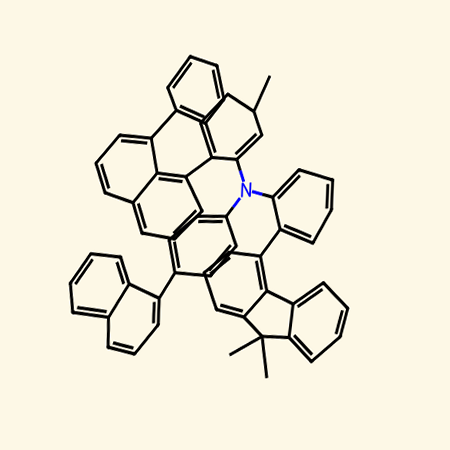 CC1C=C(N(c2ccc(-c3cccc4ccccc34)cc2)c2ccccc2-c2cccc3c2-c2ccccc2C3(C)C)C(c2cccc3cccc(-c4ccccc4)c23)=CC1